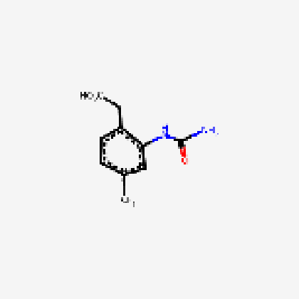 NC(=O)Nc1cc(C(F)(F)F)ccc1CC(=O)O